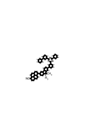 CC1(C)c2ccc(-c3ccc4ccc5c(C#N)ccc6ccc3c4c65)cc2-c2ccc(-c3cccc(-c4nc(-c5ccccc5)nc(-c5cccc(-c6ccccc6)c5)n4)c3)cc21